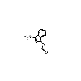 Nc1nn(OC=O)c2ccccc12